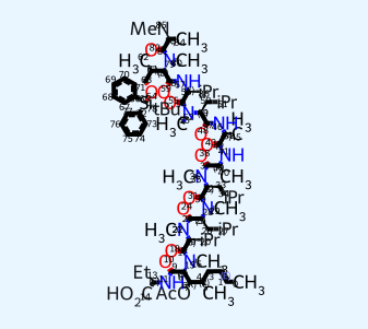 C/C=C/C[C@@H](C)[C@@H](OC(C)=O)[C@@H](C(=O)N[C@@H](CC)C(=O)O)N(C)C(=O)[C@H](C(C)C)N(C)C(=O)[C@H](CC(C)C)N(C)C(=O)[C@H](CC(C)C)N(C)C(=O)[C@@H](C)NC(=O)[C@H](C)NC(=O)[C@H](CC(C)C)N(C)C(=O)[C@@H](NC(=O)[C@H]([C@H](C)CO[Si](c1ccccc1)(c1ccccc1)C(C)(C)C)N(C)C(=O)[C@@H](C)NC)C(C)C